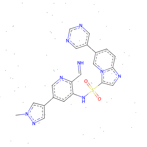 Cn1cc(-c2cnc(C=N)c(NS(=O)(=O)c3cnc4ccc(-c5cncnc5)cn34)c2)cn1